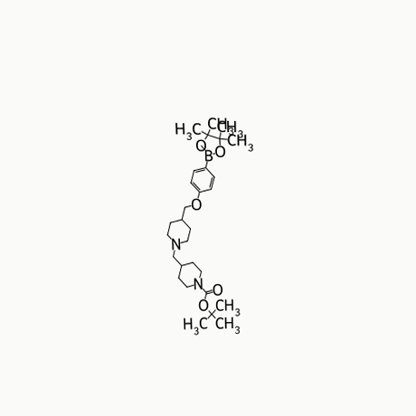 CC(C)(C)OC(=O)N1CCC(CN2CCC(COc3ccc(B4OC(C)(C)C(C)(C)O4)cc3)CC2)CC1